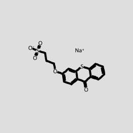 O=c1c2ccccc2sc2cc(OCCCS(=O)(=O)[O-])ccc12.[Na+]